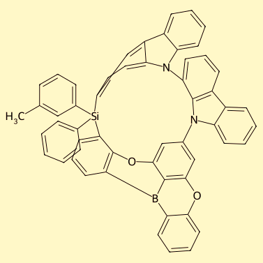 Cc1cccc([Si]2(c3ccccc3)c3ccc4c(c3)c3ccccc3n4-c3cccc4c5ccccc5n(c34)-c3cc4c5c(c3)Oc3c(cccc32)B5c2ccccc2O4)c1